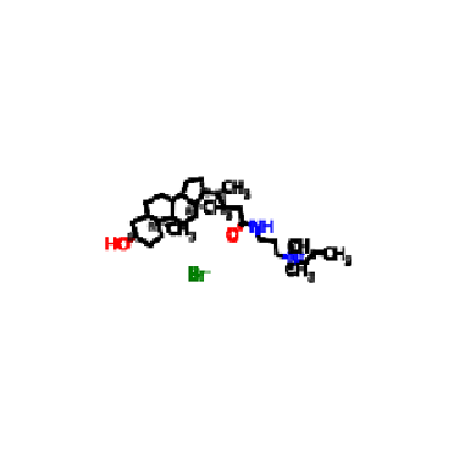 C=CC[N+](C)(C)CCCNC(=O)CC[C@@H](C)[C@H]1CCC2C3CCC4C[C@H](O)CC[C@]4(C)C3CC[C@@]21C.[Br-]